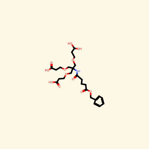 O=C(O)CCOCC(COCCC(=O)O)(COCCC(O)O)NC(=O)CCCC(=O)OCc1ccccc1